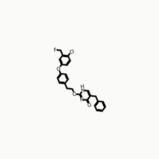 O=c1nc(OCCc2ccc(Oc3ccc(Cl)c(CF)c3)cc2)[nH]cc1Cc1ccccc1